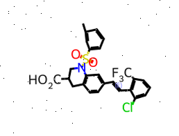 Cc1cccc(S(=O)(=O)N2CC(C(=O)O)Cc3ccc(/C=C/c4c(Cl)cccc4C(F)(F)F)cc32)c1